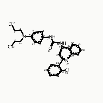 O=C(Nc1ccc(N(CCCl)CCCl)cc1)Nc1cc(-c2ccccc2Cl)nc2ccccc12